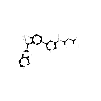 CC(C)CC(=O)Nc1cncc(-c2ccc3[nH]nc(-c4nc5ccncc5[nH]4)c3c2)c1